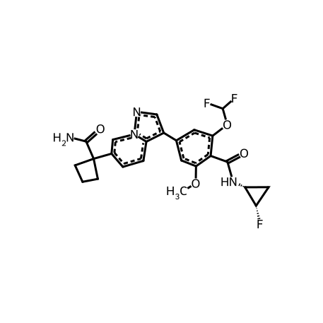 COc1cc(-c2cnn3cc(C4(C(N)=O)CCC4)ccc23)cc(OC(F)F)c1C(=O)N[C@@H]1C[C@@H]1F